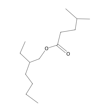 CCCCC(CC)COC(=O)CCC(C)C